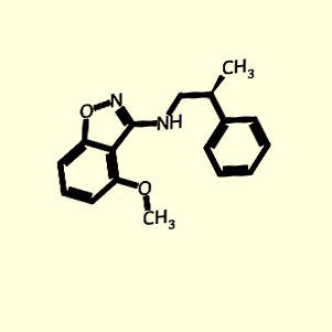 COc1cccc2onc(NC[C@@H](C)c3ccccc3)c12